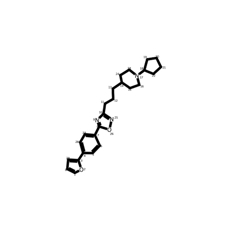 c1coc(-c2ccc(-c3nc(CCCC4CCN(C5CCCC5)CC4)no3)cc2)c1